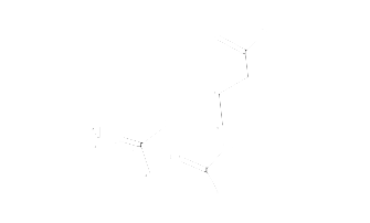 CC(=O)[O-].CC(=O)[O-].CCCC(=O)[O-].[Al+3]